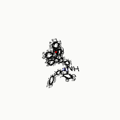 N=C(/C=C(\Cc1ccccc1)c1ccc(-c2ccccc2)cc1)c1cccc(-c2ccc3c(c2)-c2ccccc2C3(c2ccccc2)c2ccccc2Nc2ccccc2)c1